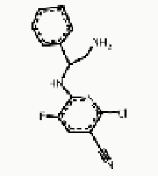 N#Cc1cc(F)c(NC(CN)c2ccccc2)nc1Cl